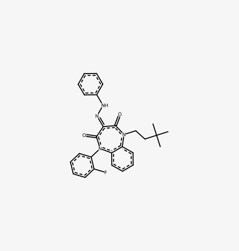 CC(C)(C)CCn1c(=O)c(=NNc2ccccc2)c(=O)n(-c2ccccc2F)c2ccccc21